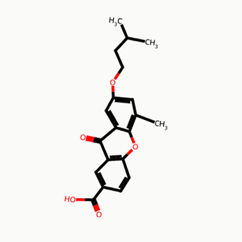 Cc1cc(OCCC(C)C)cc2c(=O)c3cc(C(=O)O)ccc3oc12